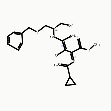 C=C(/N=C(C(=O)OC)\C(Cl)=C(/N)N[C@H](CO)CSCc1ccccc1)C1CC1